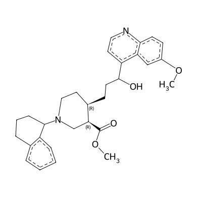 COC(=O)[C@H]1CN(C2CCCc3ccccc32)CC[C@H]1CCC(O)c1ccnc2ccc(OC)cc12